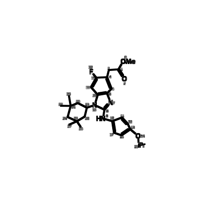 COC(=O)Cc1cc2nc(Nc3ccc(OC(C)C)cc3)n(C3CC(C)(C)CC(C)(C)C3)c2cc1F